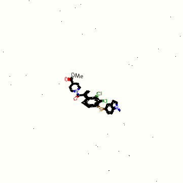 C=C(C(=O)N1CCC(C(=O)OC)CC1)c1ccc(Sc2ccc3c(ccn3C)c2)c(Cl)c1Cl